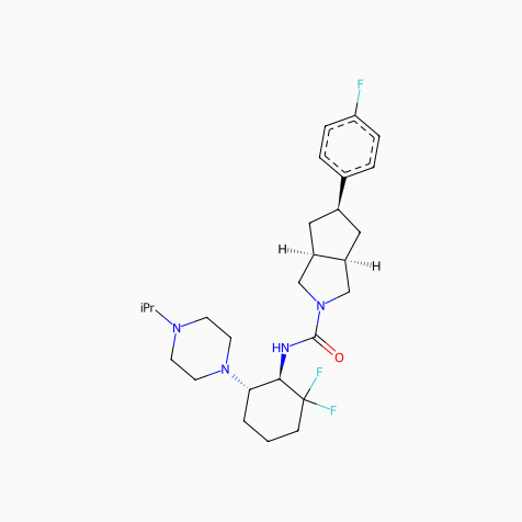 CC(C)N1CCN([C@H]2CCCC(F)(F)[C@@H]2NC(=O)N2C[C@H]3C[C@@H](c4ccc(F)cc4)C[C@H]3C2)CC1